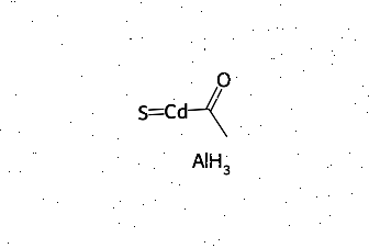 C[C](=O)[Cd]=[S].[AlH3]